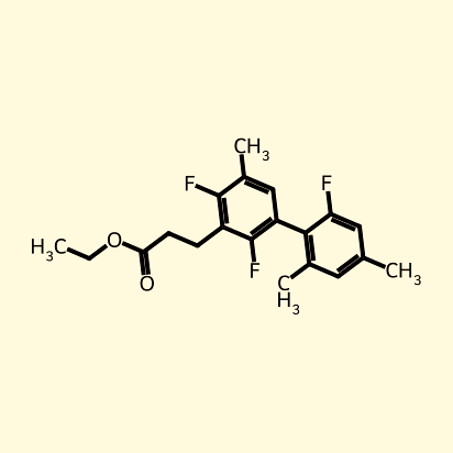 CCOC(=O)CCc1c(F)c(C)cc(-c2c(C)cc(C)cc2F)c1F